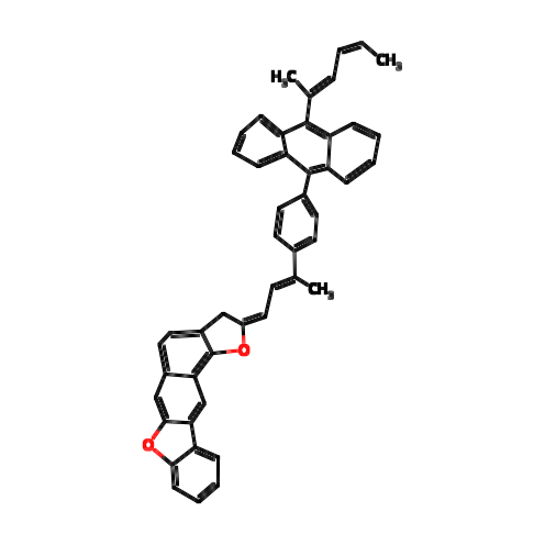 C/C=C\C=C(/C)c1c2ccccc2c(-c2ccc(/C(C)=C/C=C3\Cc4ccc5cc6oc7ccccc7c6cc5c4O3)cc2)c2ccccc12